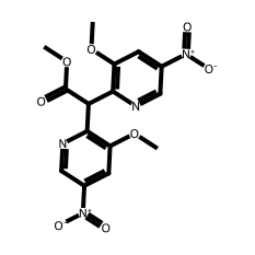 COC(=O)C(c1ncc([N+](=O)[O-])cc1OC)c1ncc([N+](=O)[O-])cc1OC